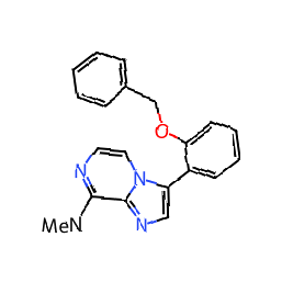 CNc1nccn2c(-c3ccccc3OCc3ccccc3)cnc12